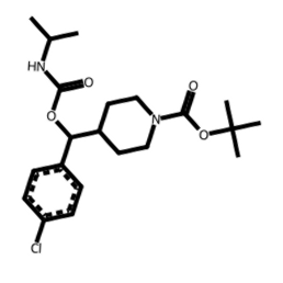 CC(C)NC(=O)OC(c1ccc(Cl)cc1)C1CCN(C(=O)OC(C)(C)C)CC1